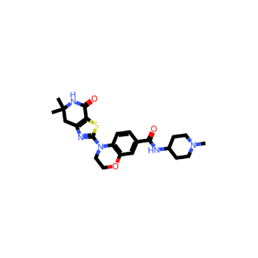 CN1CCC(NC(=O)c2ccc3c(c2)OCCN3c2nc3c(s2)C(=O)NC(C)(C)C3)CC1